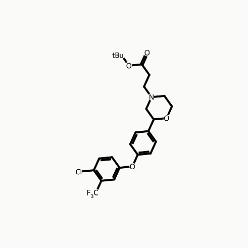 CC(C)(C)OC(=O)CCN1CCOC(c2ccc(Oc3ccc(Cl)c(C(F)(F)F)c3)cc2)C1